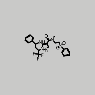 CN(CCS(=O)(=O)c1ccccc1)C(=O)c1cnn2c1NC(c1ccccc1)CC2C(F)(F)F